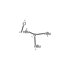 CCCCN(CCCC)CCCC.CCl